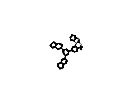 CC1(C)Sc2nc3ccccc3n2-c2cc(-c3cc(-c4ccc5ccccc5c4)cc(-c4ccc5ccccc5c4)c3)ccc21